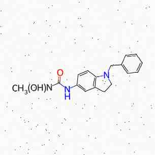 CN(O)C(=O)Nc1ccc2c(c1)CCN2Cc1ccccc1